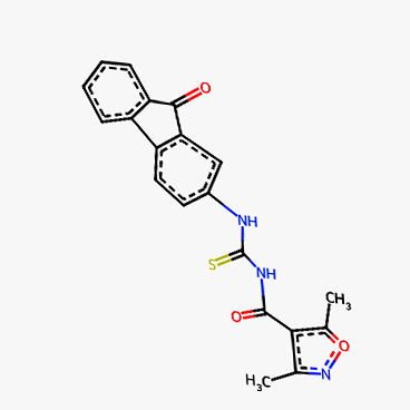 Cc1noc(C)c1C(=O)NC(=S)Nc1ccc2c(c1)C(=O)c1ccccc1-2